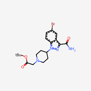 CC(C)(C)OC(=O)CN1CCC(n2nc(C(N)=O)c3cc(Br)ccc32)CC1